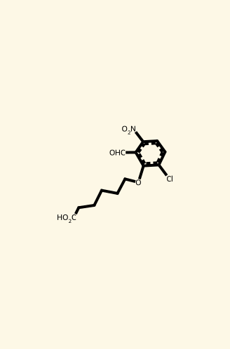 O=Cc1c([N+](=O)[O-])ccc(Cl)c1OCCCCCC(=O)O